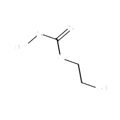 CNC(=N)OCCO